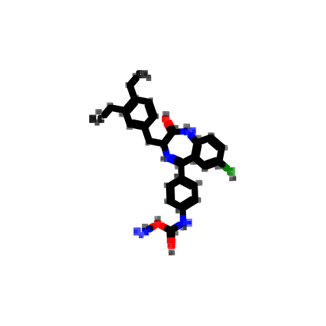 CCc1ccc(CC2N=C(c3ccc(NC(=O)ON)cc3)c3cc(Cl)ccc3NC2=O)cc1CC